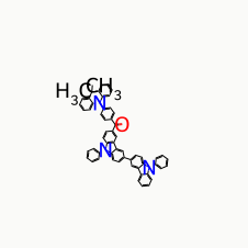 CC1(C)c2ccccc2N(c2ccc(C(=O)c3ccc4c(c3)c3cc(-c5ccc6c(c5)c5ccccc5n6-c5ccccc5)ccc3n4-c3ccccc3)cc2)c2ccccc21